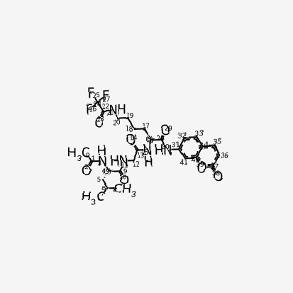 CC(=O)N[C@@H](CC(C)C)C(=O)NCC(=O)N[C@@H](CCCCNC(=O)C(F)(F)F)C(=O)Nc1ccc2ccc(=O)oc2c1